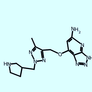 Cc1nn(CC2CCNC2)nc1COc1cc(N)nc2[nH]nnc12